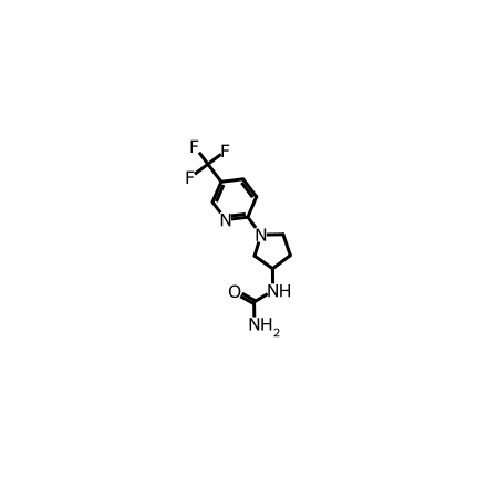 NC(=O)NC1CCN(c2ccc(C(F)(F)F)cn2)C1